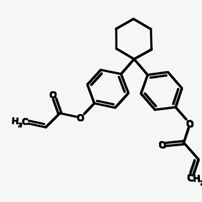 C=CC(=O)Oc1ccc(C2(c3ccc(OC(=O)C=C)cc3)CCCCC2)cc1